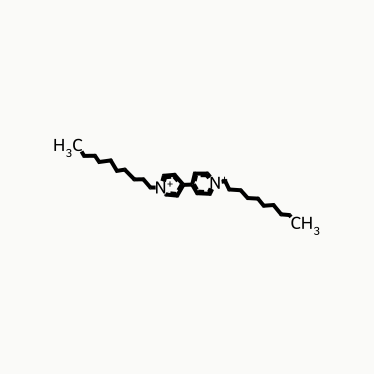 CCCCCCCCCC[n+]1ccc(-c2cc[n+](CCCCCCCCCC)cc2)cc1